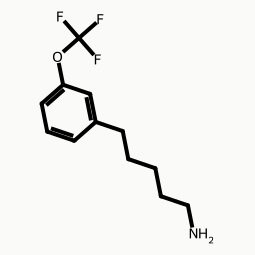 NCCCCCc1cccc(OC(F)(F)F)c1